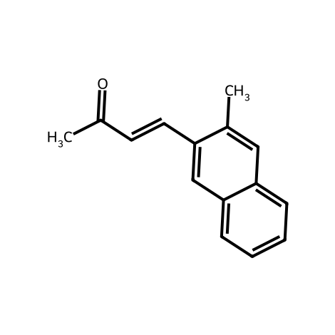 CC(=O)C=Cc1cc2ccccc2cc1C